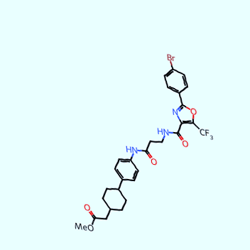 COC(=O)CC1CCC(c2ccc(NC(=O)CCNC(=O)c3nc(-c4ccc(Br)cc4)oc3C(F)(F)F)cc2)CC1